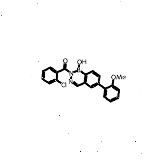 COc1ccccc1-c1ccc2c(c1)C=NN(C(=O)c1ccccc1Cl)B2O